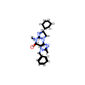 Cc1nc2c(n1Cc1ccccc1)C(=O)N(C)C1=N[C@H](C3CCCCC3)CN12